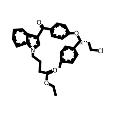 CCOC(=O)CCCn1cc(C(=O)c2ccc(O[C@H](CCCl)c3ccc(C)cc3)cc2)c2ccccc21